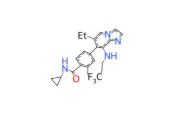 CCc1cn2ccnc2c(NCCC(F)(F)F)c1-c1ccc(C(=O)NC2CC2)c(C)c1